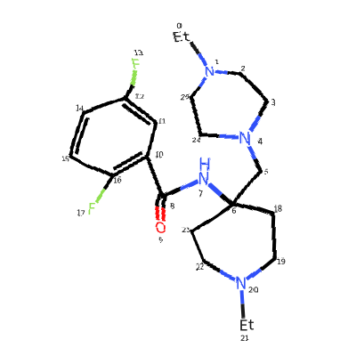 CCN1CCN(CC2(NC(=O)c3cc(F)ccc3F)CCN(CC)CC2)CC1